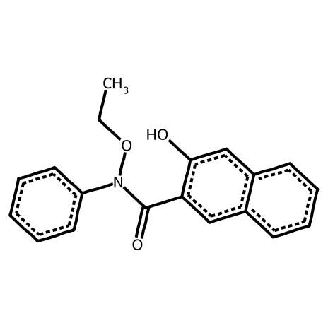 CCON(C(=O)c1cc2ccccc2cc1O)c1ccccc1